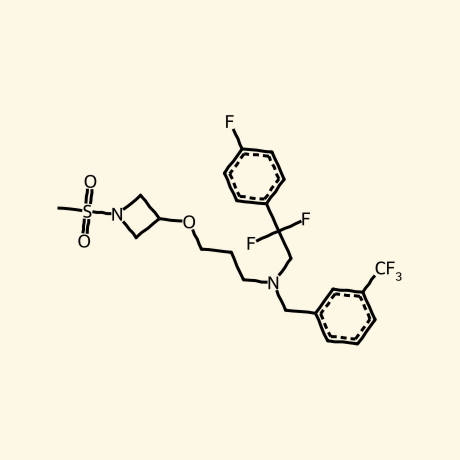 CS(=O)(=O)N1CC(OCCCN(Cc2cccc(C(F)(F)F)c2)CC(F)(F)c2ccc(F)cc2)C1